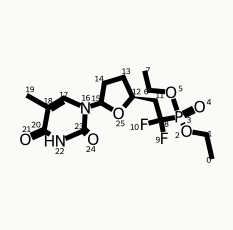 CCOP(=O)(OCC)C(F)(F)C[C@@H]1CCC(n2cc(C)c(=O)[nH]c2=O)O1